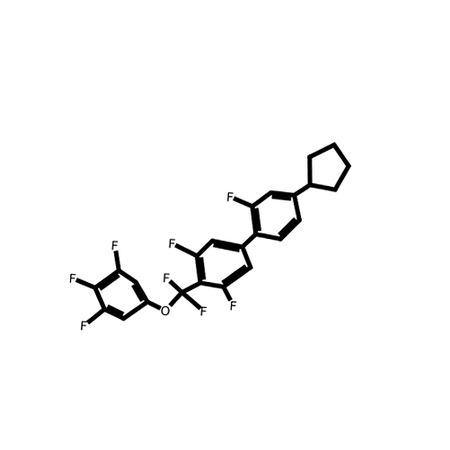 Fc1cc(C2CCCC2)ccc1-c1cc(F)c(C(F)(F)Oc2cc(F)c(F)c(F)c2)c(F)c1